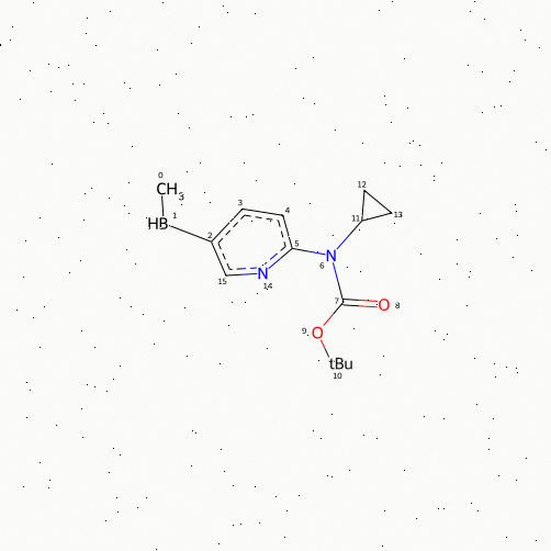 CBc1ccc(N(C(=O)OC(C)(C)C)C2CC2)nc1